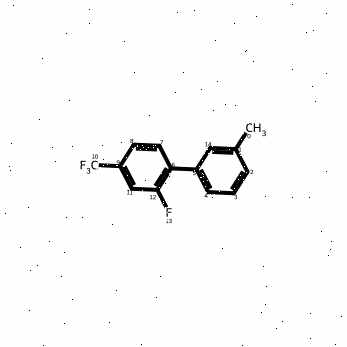 Cc1cccc(-c2ccc(C(F)(F)F)cc2F)c1